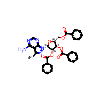 CC(C)c1nn([C@@H]2O[C@H](COC(=O)c3ccccc3)[C@@H](OC(=O)c3ccccc3)[C@H]2OC(=O)c2ccccc2)c2ncnc(N)c12